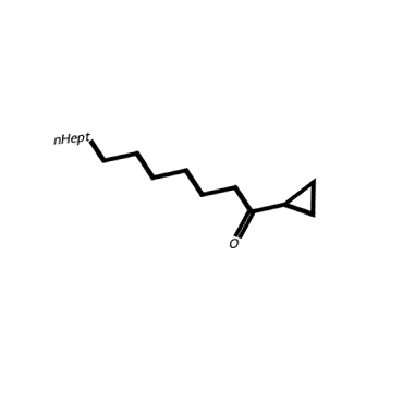 CCCCCCCCCCCCCC(=O)C1CC1